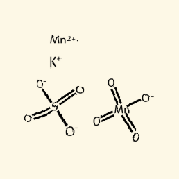 O=S(=O)([O-])[O-].[K+].[Mn+2].[O]=[Mn](=[O])(=[O])[O-]